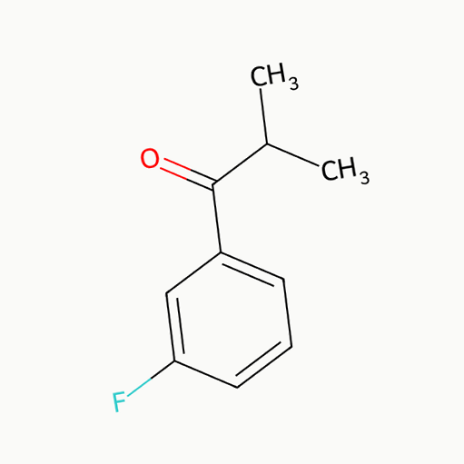 CC(C)C(=O)c1cccc(F)c1